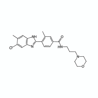 Cc1cc2[nH]c(-c3ccc(C(=O)NCCCN4CCOCC4)cc3C)nc2cc1Cl